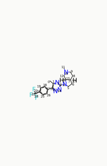 Cc1nc(N2CC[C@@H]3CCN(C)C[C@@H]32)nnc1-c1ccc(C(F)(F)F)cc1